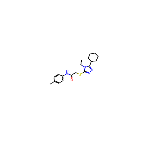 CCn1c(SCC(=O)Nc2ccc(C)cc2)nnc1C1CCCCC1